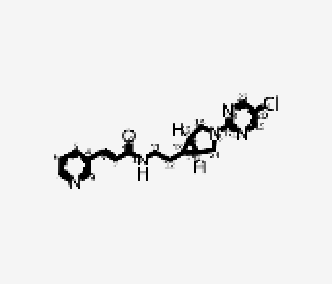 O=C(/C=C/c1cccnc1)NCCC1[C@H]2CN(c3ncc(Cl)cn3)C[C@@H]12